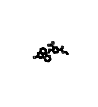 CCOC(=O)c1ccc(OC[C@@]2(C3OCCCO3)CCCc3cc(Cl)ccc32)c([N+](=O)[O-])c1